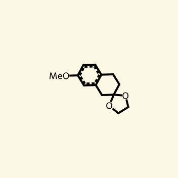 COc1ccc2c(c1)CC1(CC2)OCCO1